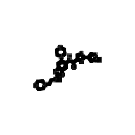 O=C(Nc1cc2oc(NCCN3CCOCC3)nc2cc1N1CCOCC1)c1csc(-c2cn[nH]c2)n1